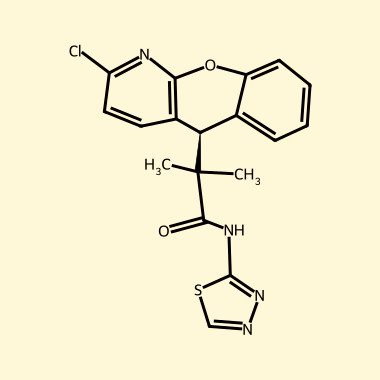 CC(C)(C(=O)Nc1nncs1)[C@@H]1c2ccccc2Oc2nc(Cl)ccc21